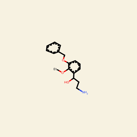 CCOc1c(OCc2ccccc2)cccc1C(O)CCN